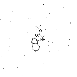 C[C@@H](Nc1cccc2ccccc12)C(=O)OC(C)(C)C